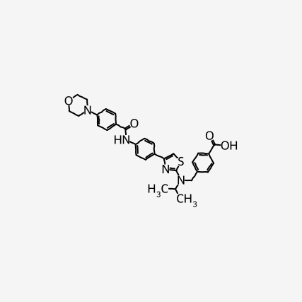 CC(C)N(Cc1ccc(C(=O)O)cc1)c1nc(-c2ccc(NC(=O)c3ccc(N4CCOCC4)cc3)cc2)cs1